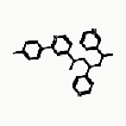 Cc1ccc(-c2cc(C(C)CC(CC(C)c3cccnc3)c3ccncc3)ccn2)cc1